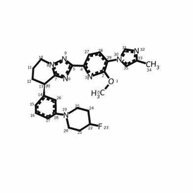 COc1nc(-c2nc3n(n2)CCC[C@@H]3c2cccc(N3CCC(F)CC3)c2)ccc1-n1cnc(C)c1